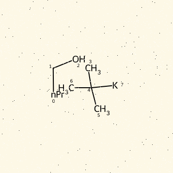 CCCCO.C[C](C)(C)[K]